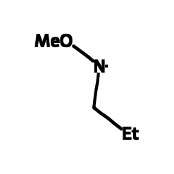 CCC[N]OC